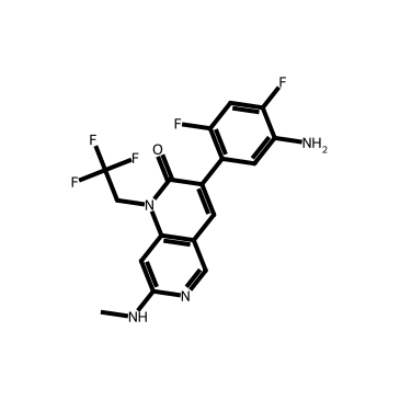 CNc1cc2c(cn1)cc(-c1cc(N)c(F)cc1F)c(=O)n2CC(F)(F)F